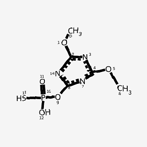 COc1nc(OC)nc(OP(=O)(O)S)n1